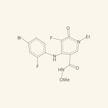 CCn1cc(C(=O)NOC)c(Nc2ccc(Br)cc2F)c(F)c1=O